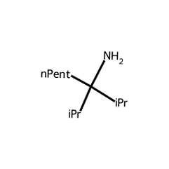 CCCCCC(N)(C(C)C)C(C)C